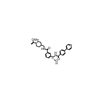 C=C(OC)N1CCC(CNC(=O)c2cccc([C@@H](CO)NC(=O)c3ccc(-c4ccncc4)cc3)c2)CC1